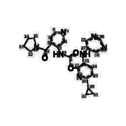 O=C(Nc1cnccc1C(=O)N1CCCC1)Oc1nc(C2CC2)ccc1Nc1cncnc1